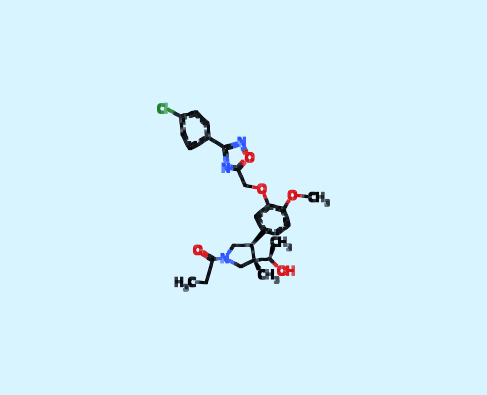 CCC(=O)N1C[C@@H](c2ccc(OC)c(OCc3nc(-c4ccc(Cl)cc4)no3)c2)[C@](C)([C@@H](C)O)C1